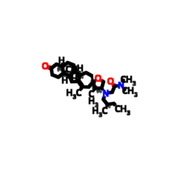 CC[C@H](C)CN(CC(=O)N(C)C)[C@@H]1CO[C@]2(CC[C@@H]3C(=C(C)C2)C[C@H]2[C@H]3CC[C@@H]3CC(=O)CC[C@@]32C)[C@@H]1C